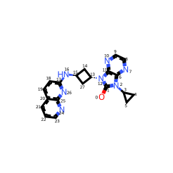 O=c1n(C2CC2)c2nccnc2n1[C@H]1C[C@H](Nc2ccc3cccnc3n2)C1